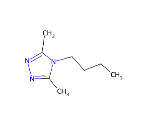 CCCCn1c(C)nnc1C